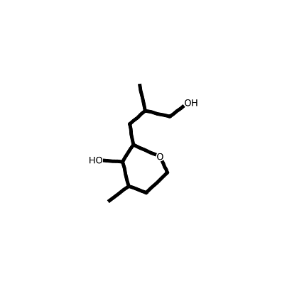 CC(CO)CC1OCCC(C)C1O